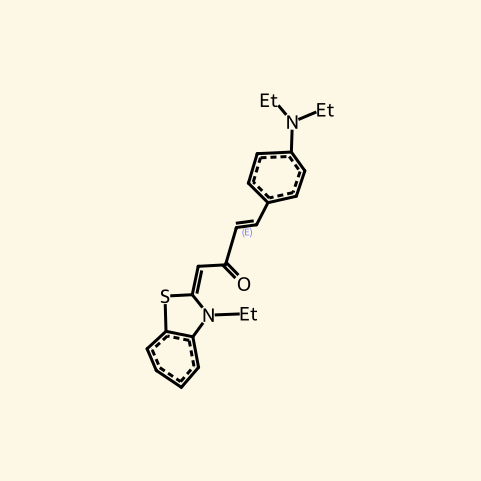 CCN(CC)c1ccc(/C=C/C(=O)C=C2Sc3ccccc3N2CC)cc1